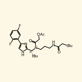 CC(=O)OCC(=O)N(CCCNC(=O)CC(C)(C)C)[C@@H](c1nc(-c2cc(F)ccc2F)c[nH]1)C(C)(C)C